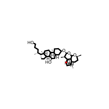 C[C@H]1[C@@H](O[C@@H]2CC[C@@]3(C)[C@@H](C2)C[C@@H](O)[C@@H]2[C@@H]3CC[C@]3(C)[C@@H]([C@H](C)CCCO)CC[C@@H]23)OC2O[C@@H](C)CC[C@H]3[C@H](C)CC[C@@H]1[C@@]23OO